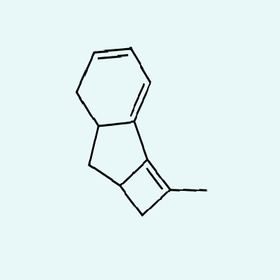 CC1=C2C3=CC=CCC3CC2C1